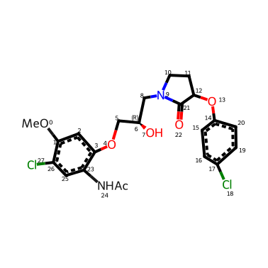 COc1cc(OC[C@H](O)CN2CCC(Oc3ccc(Cl)cc3)C2=O)c(NC(C)=O)cc1Cl